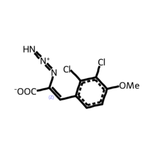 COc1ccc(/C=C(\N=[N+]=N)C(=O)[O-])c(Cl)c1Cl